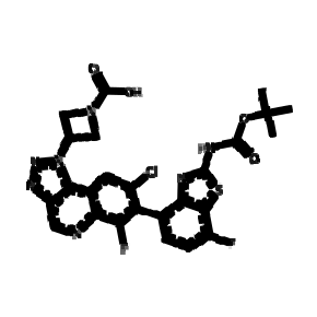 CC(C)(C)OC(=O)Nc1nc2c(-c3c(Cl)cc4c(ncc5nnn(C6CN(C(=O)O)C6)c54)c3F)ccc(F)c2s1